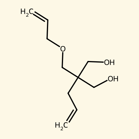 C=CCOCC(CO)(CO)CC=C